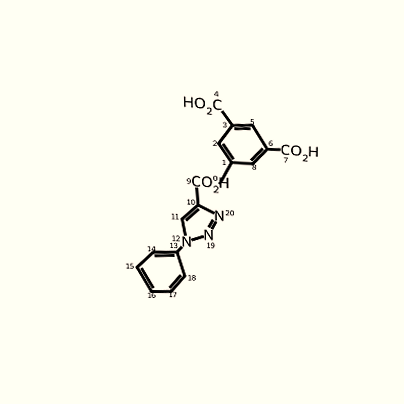 Cc1cc(C(=O)O)cc(C(=O)O)c1.O=C(O)c1cn(-c2ccccc2)nn1